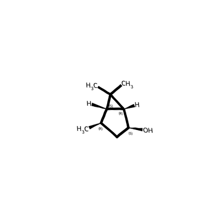 C[C@@H]1C[C@H](O)[C@@H]2[C@H]1C2(C)C